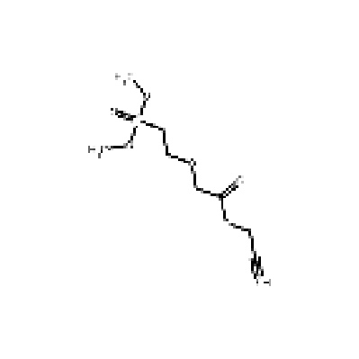 C#CCOC(=O)COCCP(=O)(OC)OC